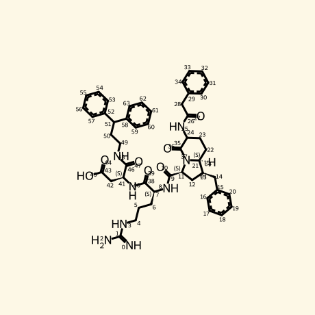 N=C(N)NCCC[C@H](NC(=O)[C@@H]1C[C@H](Cc2ccccc2)[C@@H]2CCC(NC(=O)Cc3ccccc3)C(=O)N12)C(=O)N[C@@H](CC(=O)O)C(=O)NCCC(c1ccccc1)c1ccccc1